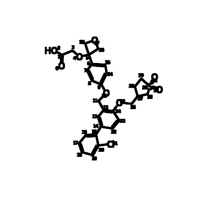 O=C(O)COC1(c2ccc(OCc3cc(-c4ccccc4Cl)ccc3OCC3CCS(=O)(=O)C3)cc2)COC1